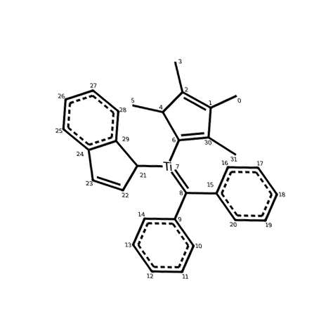 CC1=C(C)C(C)[C]([Ti](=[C](c2ccccc2)c2ccccc2)[CH]2C=Cc3ccccc32)=C1C